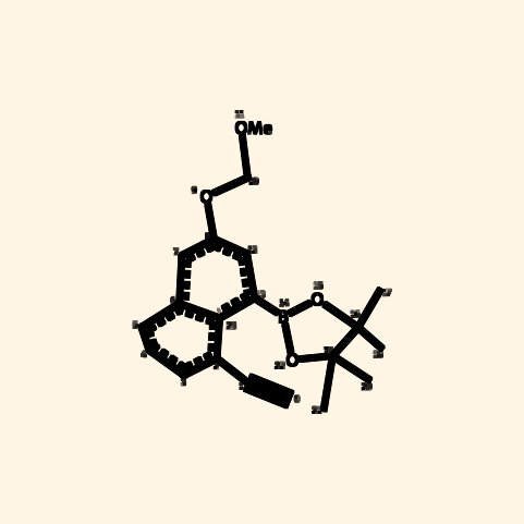 C#Cc1cccc2cc(OCOC)cc(B3OC(C)(C)C(C)(C)O3)c12